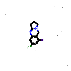 Clc1cc(I)c2c(c1)N=C1CCCN1C2